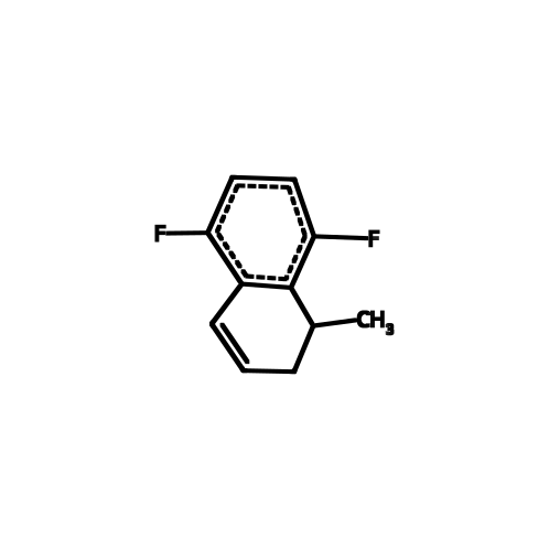 CC1CC=Cc2c(F)ccc(F)c21